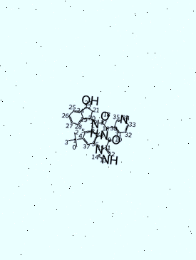 CC(C)(C)c1ccc(N(C(=O)c2c[nH]cn2)C(C(=O)N[C@@H]2C[C@@H](O)c3ccccc32)c2cccnc2)cc1